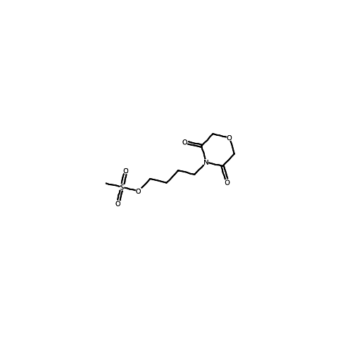 CS(=O)(=O)OCCCCN1C(=O)COCC1=O